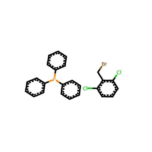 Clc1cccc(Cl)c1CBr.c1ccc(P(c2ccccc2)c2ccccc2)cc1